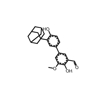 COc1cc(-c2ccc(O)c(C34CC5CC(CC(C5)C3)C4)c2)cc(C=O)c1O